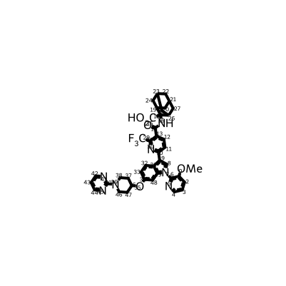 COc1cccnc1-n1cc(-c2ccc(C(=O)NC3(C(=O)O)C4CC5CC(C4)CC3C5)c(C(F)(F)F)n2)c2ccc(OC3CCN(c4ncccn4)CC3)cc21